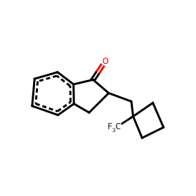 O=C1c2ccccc2CC1CC1(C(F)(F)F)CCC1